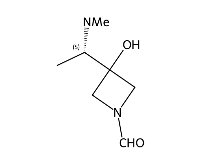 CN[C@@H](C)C1(O)CN(C=O)C1